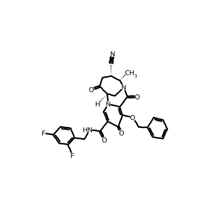 C[C@H]1[C@@H](C#N)CC(=O)[C@H]2CN1C(=O)c1c(OCc3ccccc3)c(=O)c(C(=O)NCc3ccc(F)cc3F)cn12